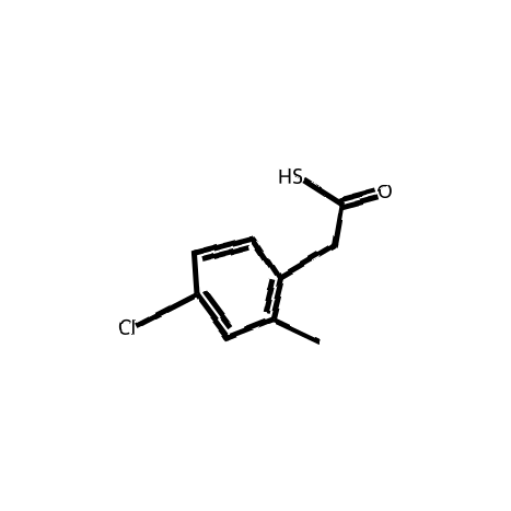 Cc1cc(Cl)ccc1CC(=O)S